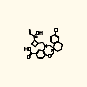 C=C[C@H](O)C1CCC1CN1C[C@@]2(CCCc3cc(Cl)ccc32)COc2ccc(C(=O)O)cc21